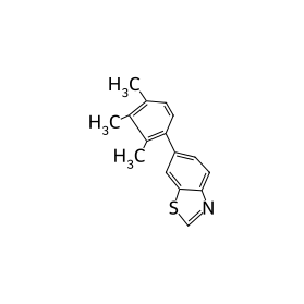 Cc1ccc(-c2ccc3ncsc3c2)c(C)c1C